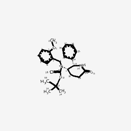 COc1ccccc1CN(C(=O)OC(C)(C)C)[C@H]1CCC(=O)N[C@H]1c1ccccc1